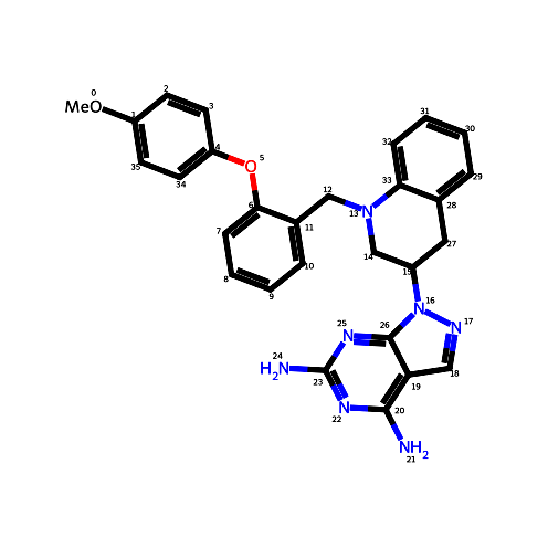 COc1ccc(Oc2ccccc2CN2CC(n3ncc4c(N)nc(N)nc43)Cc3ccccc32)cc1